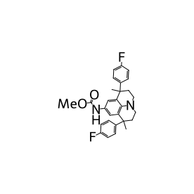 COC(=O)Nc1cc2c3c(c1)C(C)(c1ccc(F)cc1)CCN3CCC2(C)c1ccc(F)cc1